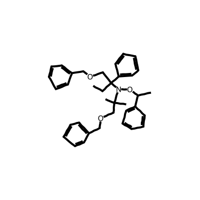 CCC(COCc1ccccc1)(c1ccccc1)N(OC(C)c1ccccc1)C(C)(C)COCc1ccccc1